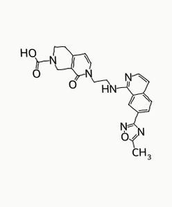 Cc1nc(-c2ccc3ccnc(NCCn4ccc5c(c4=O)CN(C(=O)O)CC5)c3c2)no1